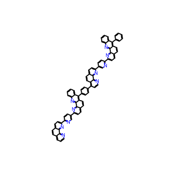 c1ccc(-c2c3ccccc3nc3c2ccc2ccc(-c4ccc(-c5ccc6ccc7c(-c8ccc(-c9c%10ccccc%10nc%10c9ccc9ccc(-c%11ccc(-c%12ccc%13ccc%14cccnc%14c%13n%12)nc%11)nc9%10)cc8)ccnc7c6n5)cn4)nc23)cc1